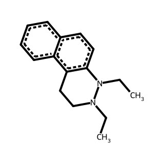 CCN1CCc2c(ccc3ccccc23)N1CC